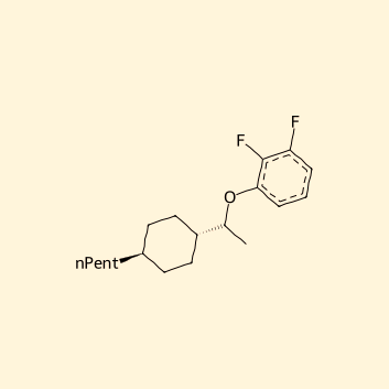 CCCCC[C@H]1CC[C@H](C(C)Oc2cccc(F)c2F)CC1